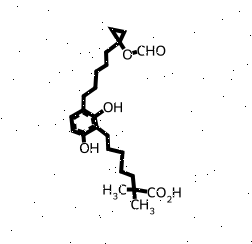 CC(C)(CCCCCc1c(O)ccc(CCCCCC2(OC=O)CC2)c1O)C(=O)O